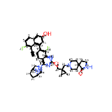 C#Cc1c(F)ccc2cc(O)cc(-c3ccc4c(N5CC6CCC(C5)N6)nc(OCC5(CN6CCC7(CCNC7=O)CC6)CC5)nc4c3F)c12